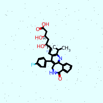 CC(C)c1nc2c(c(-c3ccc(F)cc3)c1/C=C/[C@@H](O)C[C@@H](O)CC(=O)O)CNC(=O)c1ccccc1-2